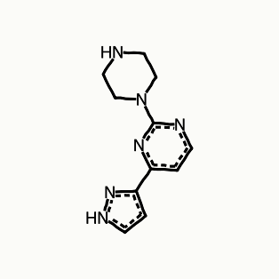 c1cc(-c2cc[nH]n2)nc(N2CCNCC2)n1